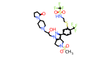 CS(=O)(=O)N1CCc2c(c(-c3ccc(C(F)(F)F)c(SCCNS(=O)(=O)C(F)(F)F)c3)nn2CC(O)CN2CCC(N3CCCC3=O)CC2)C1